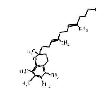 C/C(=C\CC[C@]1(C)CCc2c(C)c(C)c(C)c(C)c2O1)CC/C=C(\C)CCCI